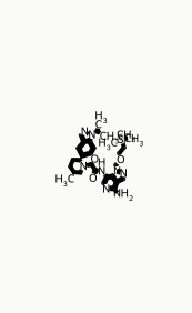 CC(C)n1ncc2cc([C@H]3CC[C@H](C)CN3C(=O)C(=O)Nc3cnc(N)c4cnn(COCC[Si](C)(C)C)c34)ccc21